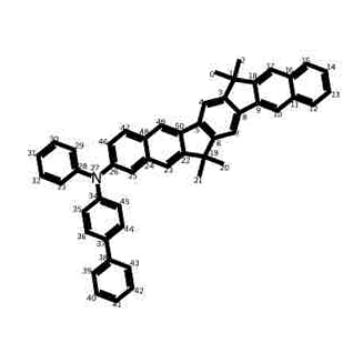 CC1(C)c2cc3c(cc2-c2cc4ccccc4cc21)C(C)(C)c1cc2cc(N(c4ccccc4)c4ccc(-c5ccccc5)cc4)ccc2cc1-3